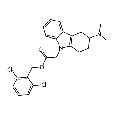 CN(C)C1CCc2c(c3ccccc3n2CC(=O)OCc2c(Cl)cccc2Cl)C1